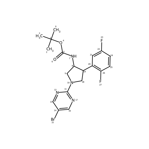 CC(C)(C)OC(=O)NC1CN(c2ncc(Br)cn2)CC1c1cc(F)ccc1F